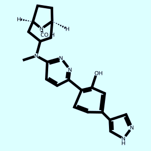 CN(c1ccc(-c2ccc(-c3cn[nH]c3)cc2O)nn1)C1C[C@H]2CC[C@@H](C1)N2C(=O)O